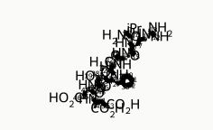 CC(C)[C@H](N)C(=O)N[C@@H](CCCNC(=N)N)C(=O)NCC(=O)N[C@@H](C)C(=O)N[C@@H](Cc1ccccc1)C(=O)N[C@@H](CO)C(=O)N[C@@H](CCC(=O)O)C(=O)N[C@@H](CCC(=O)O)C(=O)O